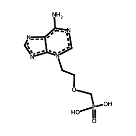 Nc1ncn(CCOCP(=O)(O)O)c2ncnc1-2